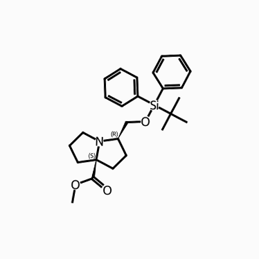 COC(=O)[C@@]12CCCN1[C@@H](CO[Si](c1ccccc1)(c1ccccc1)C(C)(C)C)CC2